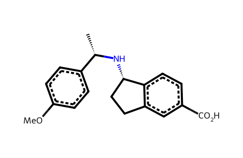 COc1ccc([C@H](C)N[C@H]2CCc3cc(C(=O)O)ccc32)cc1